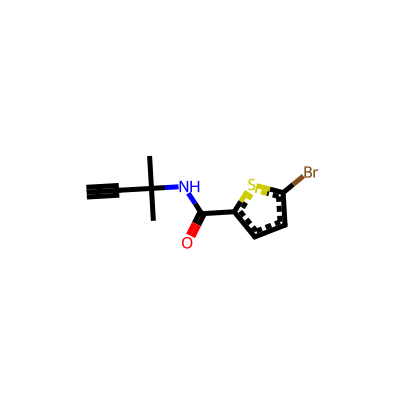 C#CC(C)(C)NC(=O)c1ccc(Br)s1